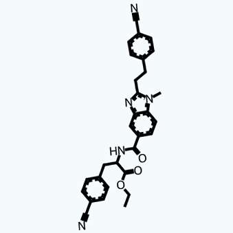 CCOC(=O)C(Cc1ccc(C#N)cc1)NC(=O)c1ccc2c(c1)nc(CCc1ccc(C#N)cc1)n2C